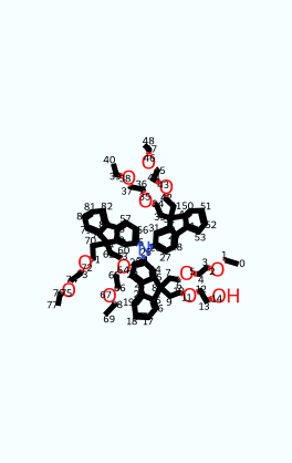 CCOCCOCCC1(CCOCCO)c2ccccc2-c2ccc(N(c3ccc4c(c3)C(CCOCCOCC)(CCOCCOCC)c3ccccc3-4)c3ccc4c(c3)C(CCOCCOCC)(CCOCCOCC)c3ccccc3-4)cc21